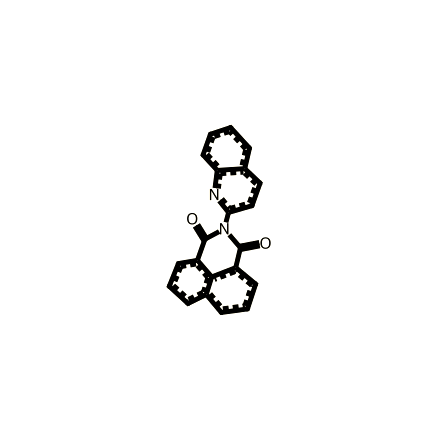 O=C1c2cccc3cccc(c23)C(=O)N1c1ccc2ccccc2n1